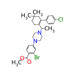 COC(=O)c1ccc(N2CCN(C(C)C3=C(c4ccc(Cl)cc4)CC(C)(C)CC3)CC2)cc1Br